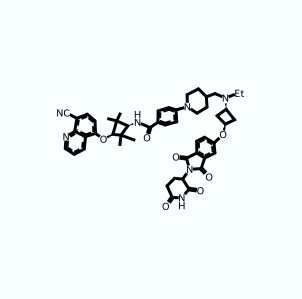 CCN(CC1CCN(c2ccc(C(=O)N[C@H]3C(C)(C)[C@H](Oc4ccc(C#N)c5ncccc45)C3(C)C)cc2)CC1)[C@H]1C[C@H](Oc2ccc3c(c2)C(=O)N(C2CCC(=O)NC2=O)C3=O)C1